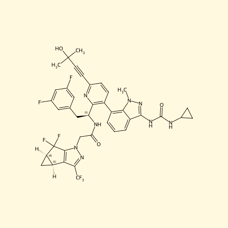 Cn1nc(NC(=O)NC2CC2)c2cccc(-c3ccc(C#CC(C)(C)O)nc3[C@H](Cc3cc(F)cc(F)c3)NC(=O)Cn3nc(C(F)(F)F)c4c3C(F)(F)[C@@H]3C[C@H]43)c21